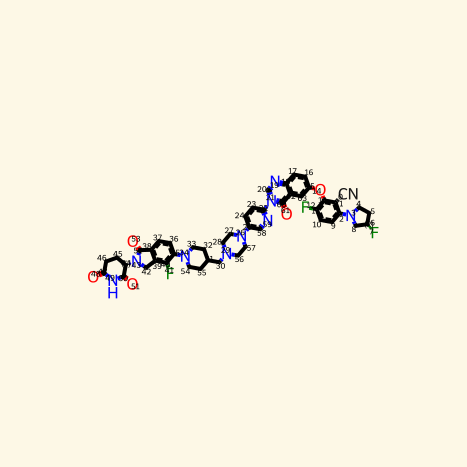 N#Cc1c(N2CC[C@@H](F)C2)ccc(F)c1Oc1ccc2ncn(-c3ccc(N4CCN(CC5CCN(c6ccc7c(c6F)CN([C@H]6CCC(=O)NC6=O)C7=O)CC5)CC4)cn3)c(=O)c2c1